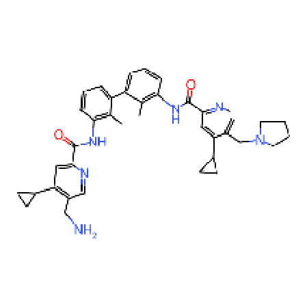 C=C(CN1CCCC1)/C(=C\C(=N/C)C(=O)Nc1cccc(-c2cccc(NC(=O)c3cc(C4CC4)c(CN)cn3)c2C)c1C)C1CC1